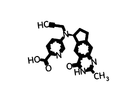 C#CCN(c1ccc(C(=O)O)nc1)[C@H]1CCc2cc3nc(C)[nH]c(=O)c3cc21